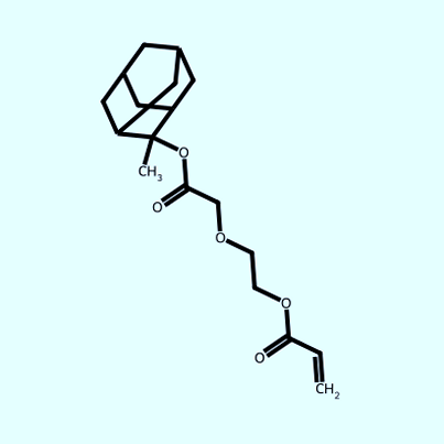 C=CC(=O)OCCOCC(=O)OC1(C)C2CC3CC(C2)CC1C3